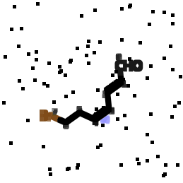 O=CC=C/C=C\CCBr